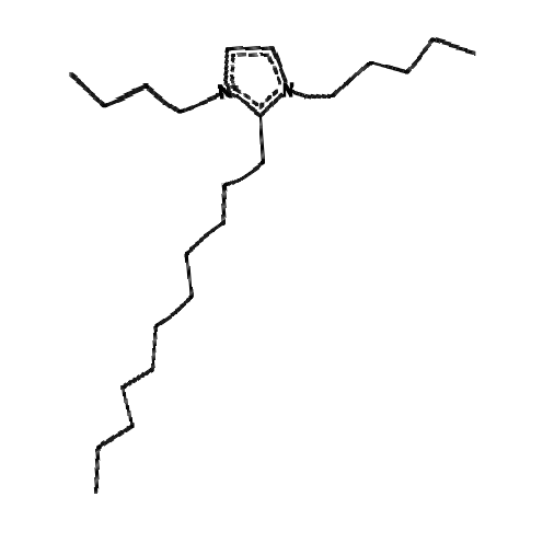 CCCCCCCCCCCc1n(CCCCC)cc[n+]1CCCC